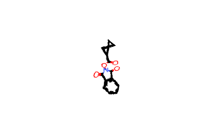 O=C(ON1C(=O)c2ccccc2C1=O)C1CC12CC2